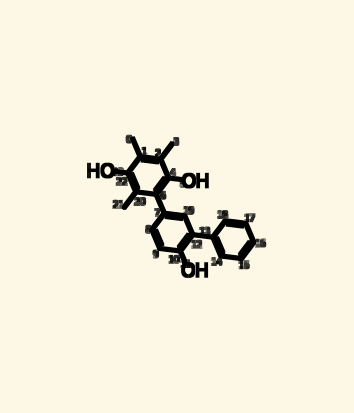 Cc1c(C)c(O)c(-c2ccc(O)c(-c3ccccc3)c2)c(C)c1O